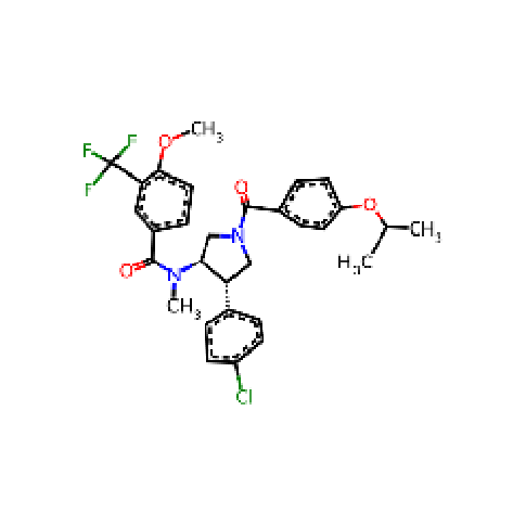 COc1ccc(C(=O)N(C)[C@H]2CN(C(=O)c3ccc(OC(C)C)cc3)C[C@@H]2c2ccc(Cl)cc2)cc1C(F)(F)F